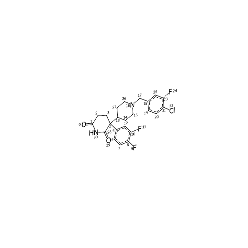 O=C1CCC(c2ccc(F)c(F)c2)(C2CCN(Cc3ccc(Cl)c(F)c3)CC2)C(=O)N1